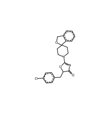 O=C1N=C(N2CCC3(CC2)OCc2ccccc23)OC1Cc1ccc(Cl)cc1